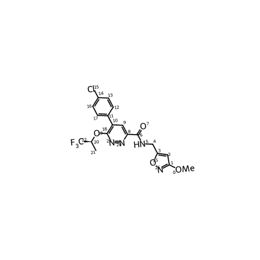 COc1cc(CNC(=O)c2cc(-c3ccc(Cl)cc3)c(O[C@@H](C)C(F)(F)F)nn2)on1